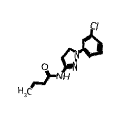 CCCC(=O)NC1=NN(c2cccc(Cl)c2)CC1